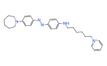 c1cc[n+](CCCCCCNc2ccc(N=Nc3ccc(N4CCCCCC4)cc3)cc2)cc1